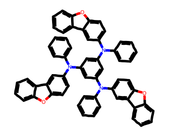 c1ccc(N(c2cc(N(c3ccccc3)c3ccc4oc5ccccc5c4c3)cc(N(c3ccccc3)c3ccc4oc5ccccc5c4c3)c2)c2ccc3oc4ccccc4c3c2)cc1